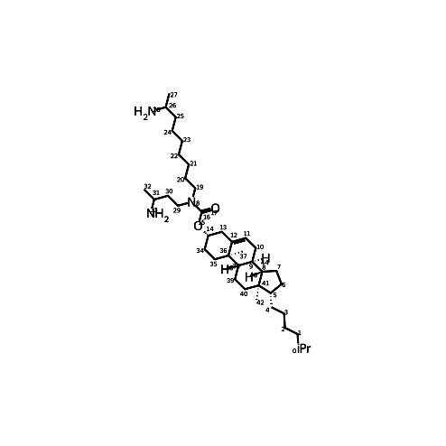 CC(C)CCCC[C@H]1CC[C@H]2[C@@H]3CC=C4C[C@@H](OC(=O)N(CCCCCCCC(C)N)CCC(C)N)CC[C@]4(C)[C@H]3CC[C@]12C